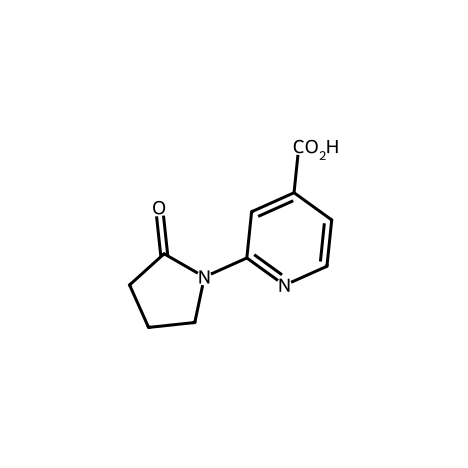 O=C(O)c1ccnc(N2CCCC2=O)c1